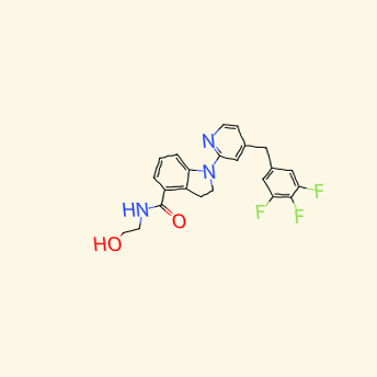 O=C(NCCO)c1cccc2c1CCN2c1cc(Cc2cc(F)c(F)c(F)c2)ccn1